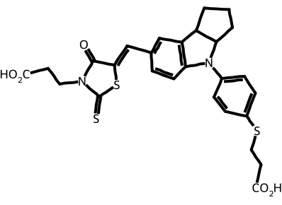 O=C(O)CCSc1ccc(N2c3ccc(/C=C4\SC(=S)N(CCC(=O)O)C4=O)cc3C3CCCC32)cc1